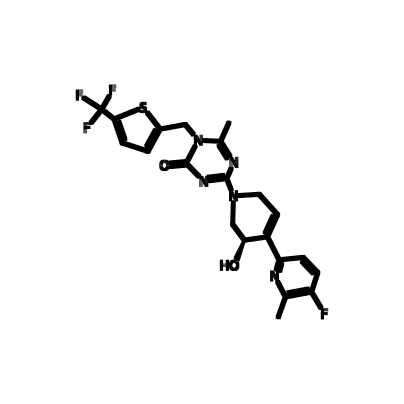 Cc1nc(C2=CCN(c3nc(C)n(Cc4ccc(C(F)(F)F)s4)c(=O)n3)C[C@@H]2O)ccc1F